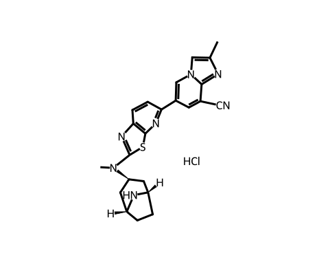 Cc1cn2cc(-c3ccc4nc(N(C)[C@@H]5C[C@H]6CC[C@@H](C5)N6)sc4n3)cc(C#N)c2n1.Cl